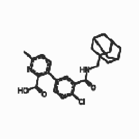 Cc1ccc(-c2ccc(Cl)c(C(=O)NCC34CC5CC(CC(C5)C3)C4)c2)c(C(=O)O)n1